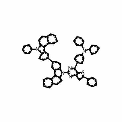 c1ccc(-c2cc3nc(-n4c5ccc(-c6ccc7c(c6)c6c8ccccc8ccc6n7-c6ccccc6)cc5c5c6ccccc6ccc54)nc(-c4ccc(N(c5ccccc5)c5ccccc5)cc4)c3s2)cc1